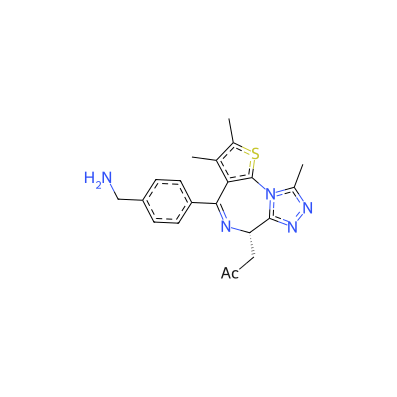 CC(=O)C[C@@H]1N=C(c2ccc(CN)cc2)c2c(sc(C)c2C)-n2c(C)nnc21